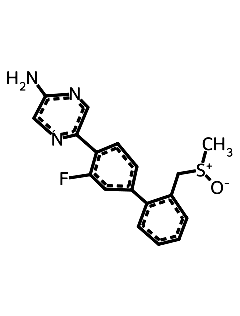 C[S+]([O-])Cc1ccccc1-c1ccc(-c2cnc(N)cn2)c(F)c1